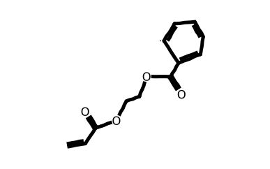 C=CC(=O)OCCOC(=O)c1[c]cccc1